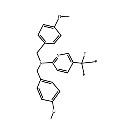 COc1ccc(CN(Cc2ccc(OC)cc2)c2ccc(C(F)(F)F)cn2)cc1